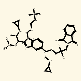 C[C@@H](OC1CC1)[C@H](N[S@+]([O-])C(C)(C)C)c1nc2cc([C@@H](COC3CC3)NCC(F)(F)CN3C(=O)c4ccccc4C3=O)ccc2n1COCC[Si](C)(C)C